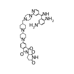 N=C(c1ccnc(N2CCN(CC3CCN(C4CCN(c5ccc6c(c5)C(=O)N(C5CCC(=O)NC5=O)C6=O)CC4)CC3)CC2)c1)c1cc(N)ccc1N